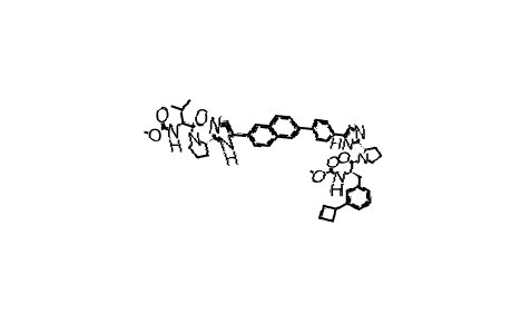 COC(=O)N[C@H](C(=O)N1CCC[C@H]1c1ncc(-c2ccc3cc(-c4ccc(-c5cnc([C@@H]6CCCN6C(=O)[C@@H](Cc6cccc(C7CCC7)c6)NC(=O)OC)[nH]5)cc4)ccc3c2)[nH]1)C(C)C